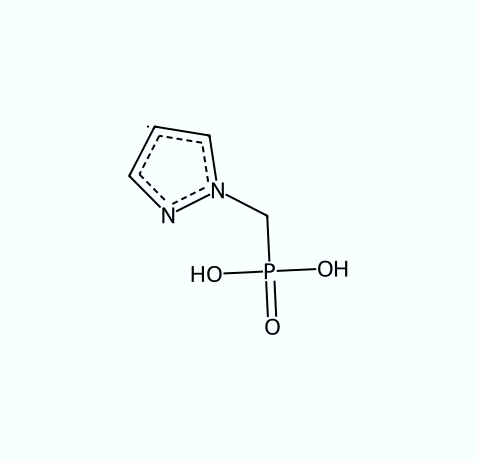 O=P(O)(O)Cn1c[c]cn1